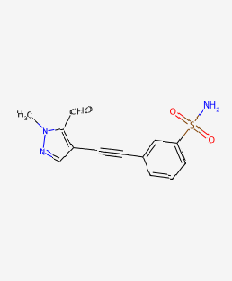 Cn1ncc(C#Cc2cccc(S(N)(=O)=O)c2)c1C=O